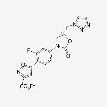 CCOC(=O)c1cc(-c2ccc(N3C[C@H](Cn4ccnn4)OC3=O)cc2F)on1